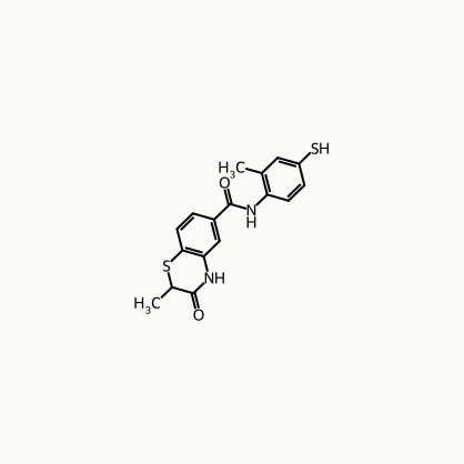 Cc1cc(S)ccc1NC(=O)c1ccc2c(c1)NC(=O)C(C)S2